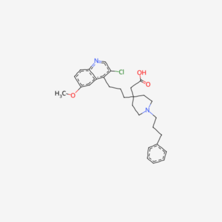 COc1ccc2ncc(Cl)c(CCCC3(CC(=O)O)CCN(CCCc4ccccc4)CC3)c2c1